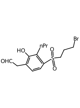 CCCc1c(S(=O)(=O)CCCBr)ccc(CC=O)c1O